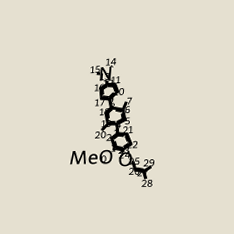 COc1cc(-c2cc(C)c(-c3ccc(N(C)C)cc3)cc2C)ccc1OCC=C(C)C